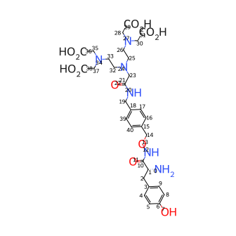 N[C@H](Cc1ccc(O)cc1)C(=O)NOCc1ccc(CNC(=O)CN(CCN(CC(=O)O)CC(=O)O)CCN(CC(=O)O)CC(=O)O)cc1